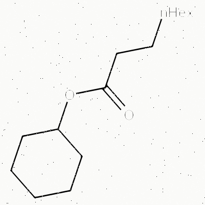 [CH2]CCCCCCCC(=O)OC1CCCCC1